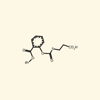 CC(C)OC(=O)c1ccccc1OC(=O)SCCC(=O)O